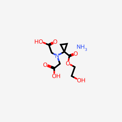 N.O=C(O)CN(CC(=O)O)C1(C(=O)OCCO)CC1